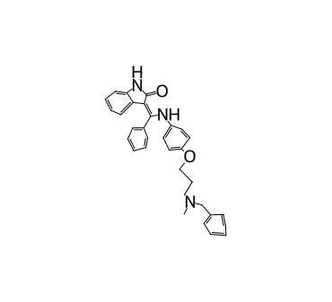 CN(CCCOc1ccc(N/C(=C2\C(=O)Nc3ccccc32)c2ccccc2)cc1)Cc1ccccc1